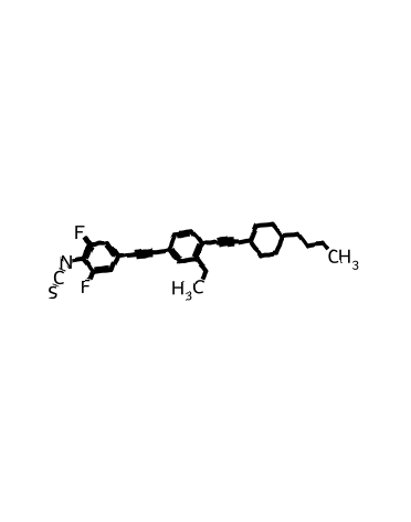 CCCCC1CCC(C#Cc2ccc(C#Cc3cc(F)c(N=C=S)c(F)c3)cc2CC)CC1